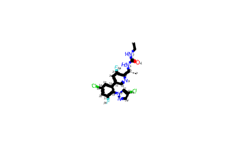 CCNC(=O)N[C@H](C)c1ncc(-c2cc(Cl)cc(F)c2-n2cc(Cl)cn2)cc1F